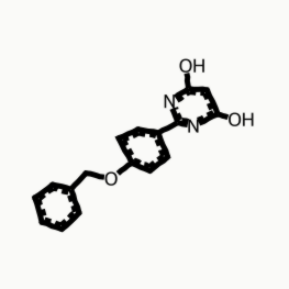 Oc1cc(O)nc(-c2ccc(OCc3ccccc3)cc2)n1